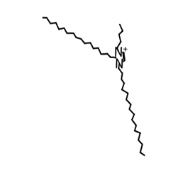 CCCCCCCCCCCCCCCCCCn1cc[n+](CCCCC)c1CCCCCCCCCCCCCCCCC